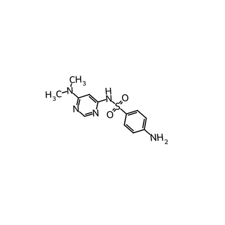 CN(C)c1cc(NS(=O)(=O)c2ccc(N)cc2)ncn1